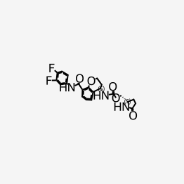 O=C1CC[C@@H](COC(=O)N[C@H]2CCOc3c(C(=O)Nc4ccc(F)c(F)c4)cccc32)N1